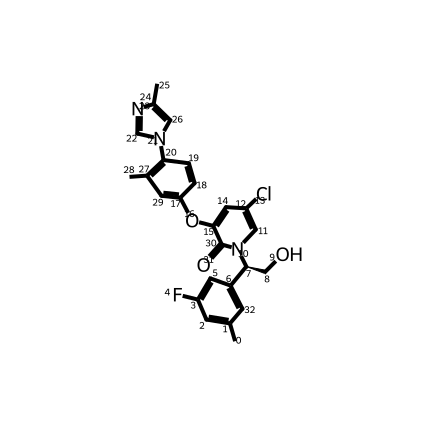 Cc1cc(F)cc([C@H](CO)n2cc(Cl)cc(Oc3ccc(-n4cnc(C)c4)c(C)c3)c2=O)c1